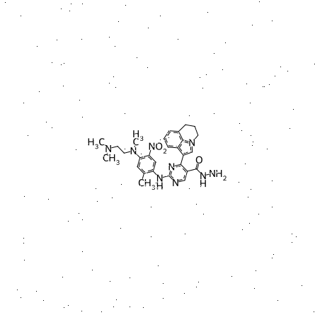 Cc1cc(N(C)CCN(C)C)c([N+](=O)[O-])cc1Nc1ncc(C(=O)NN)c(-c2cn3c4c(cccc24)CCC3)n1